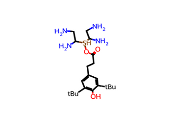 CC(C)(C)c1cc(CCC(=O)O[SH](C(N)CN)C(N)CN)cc(C(C)(C)C)c1O